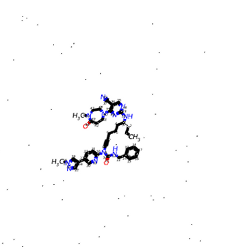 CCC[C@H](CCCC#CN(C(=O)NCc1ccccc1)c1ccc(-c2cnn(C)c2)cn1)Nc1ncc(C#N)c(N2CCC(=O)N(C)CC2)n1